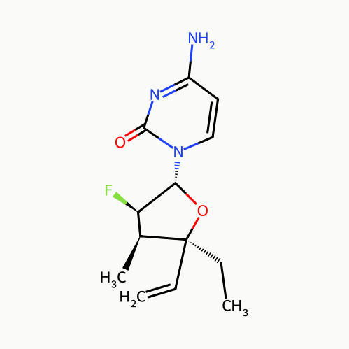 C=C[C@]1(CC)O[C@@H](n2ccc(N)nc2=O)[C@H](F)[C@@H]1C